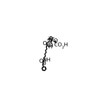 CC(C)C[C@H](NC(=O)[C@H]1O[C@@H]1C(=O)O)C(=O)NCCCCCCCNC(=O)OCc1ccccc1